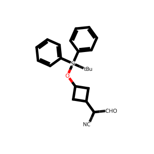 CC(C)(C)[Si](OC1CC(C(C#N)C=O)C1)(c1ccccc1)c1ccccc1